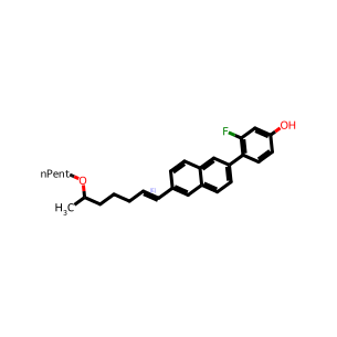 CCCCCOC(C)CCC/C=C/c1ccc2cc(-c3ccc(O)cc3F)ccc2c1